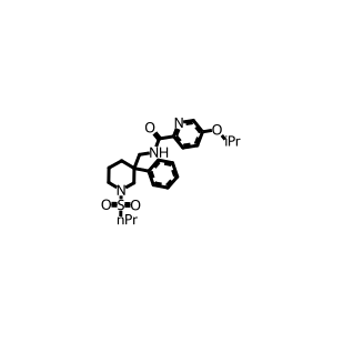 CCCS(=O)(=O)N1CCCC(CNC(=O)c2ccc(OC(C)C)cn2)(c2ccccc2)C1